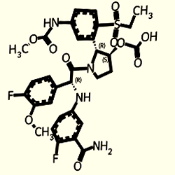 CCS(=O)(=O)c1ccc(NC(=O)OC)cc1[C@@H]1[C@@H](OC(=O)O)CCN1C(=O)[C@H](Nc1ccc(F)c(C(N)=O)c1)c1ccc(F)c(OC)c1